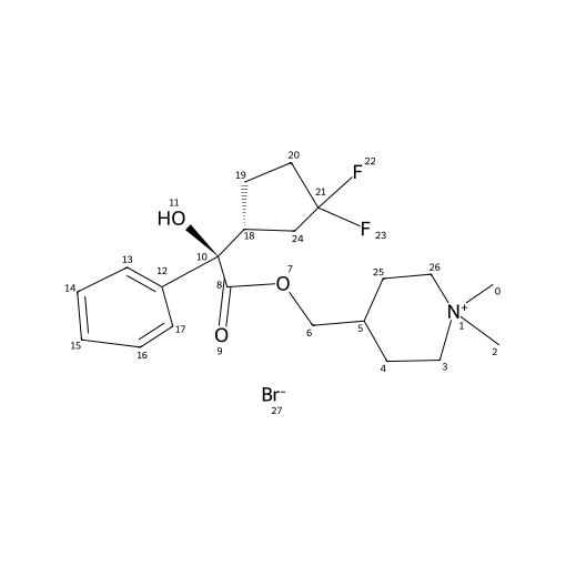 C[N+]1(C)CCC(COC(=O)[C@](O)(c2ccccc2)[C@@H]2CCC(F)(F)C2)CC1.[Br-]